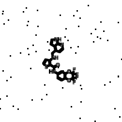 O=C(Nc1ccc2c(c1)OC(F)(F)C(F)(F)O2)c1sccc1NCc1ccnc2[nH]ccc12